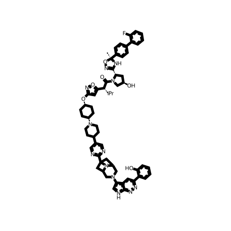 CC(C)[C@@H](C(=O)N1C[C@H](O)C[C@H]1C1=NO[C@@](C)(c2ccc(-c3ccccc3F)cc2)N1)c1cc(O[C@H]2CC[C@@H](N3CCC(c4cnc(C56CC7CN(c8c[nH]c9nnc(-c%10ccccc%10O)cc89)CC(C5)N76)nc4)CC3)CC2)no1